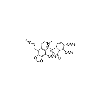 COc1ccc2c(c1OC)C(=O)O[C@@H]2[C@H]1c2c(c(CN=C=S)c3c(c2OC)OCO3)CCN1C